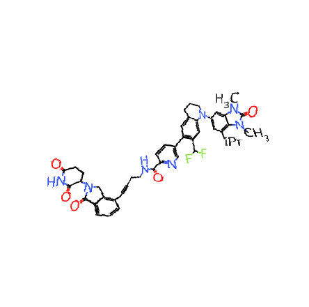 CC(C)c1cc(N2CCCc3cc(-c4ccc(C(=O)NCCC#Cc5cccc6c5CN(C5CCC(=O)NC5=O)C6=O)nc4)c(C(F)F)cc32)cc2c1n(C)c(=O)n2C